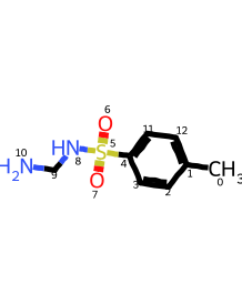 Cc1ccc(S(=O)(=O)NCN)cc1